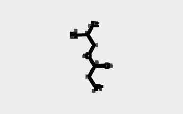 CCC(CC)COC(=O)CC(C)C